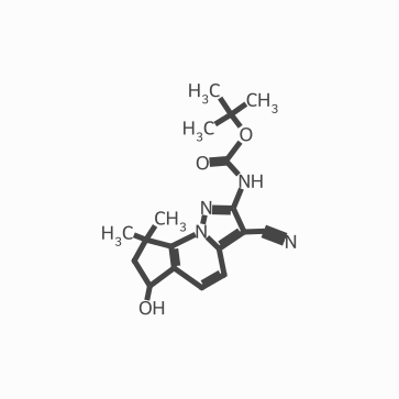 CC(C)(C)OC(=O)Nc1nn2c3c(ccc2c1C#N)C(O)CC3(C)C